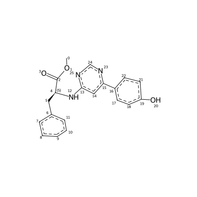 COC(=O)[C@H](Cc1ccccc1)Nc1cc(-c2ccc(O)cc2)ncn1